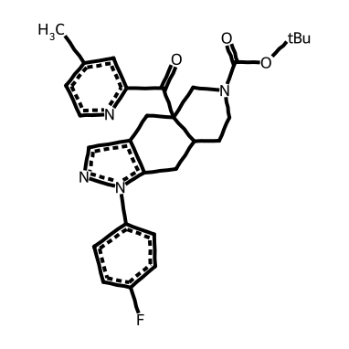 Cc1ccnc(C(=O)C23Cc4cnn(-c5ccc(F)cc5)c4CC2CCN(C(=O)OC(C)(C)C)C3)c1